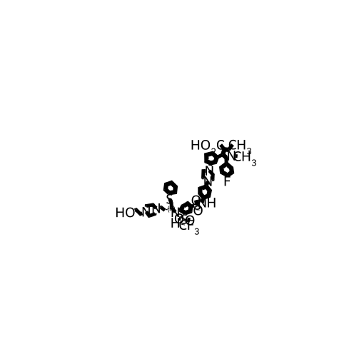 Cc1c(C(=O)O)c(-c2cccc(N3CCN(c4ccc(NS(=O)(=O)c5ccc(N[C@H](CCN6CCN(CCO)CC6)CSc6ccccc6)c(S(=O)(=O)C(F)(F)F)c5)cc4)CC3)c2)c(-c2ccc(F)cc2)n1C